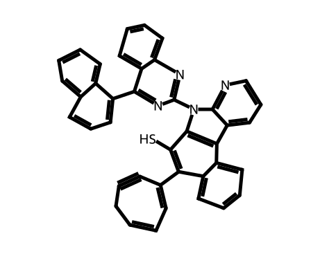 Sc1c(C2=CC=CCC#C2)c2ccccc2c2c3cccnc3n(-c3nc(-c4cccc5ccccc45)c4ccccc4n3)c12